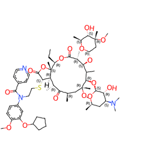 CC[C@H]1OC(=O)[C@H](C)[C@@H](O[C@H]2C[C@@](C)(OC)[C@@H](O)[C@H](C)O2)C(C)[C@@H](O[C@@H]2O[C@H](C)C[C@H](N(C)C)[C@H]2O)[C@](C)(OC)C[C@@H](C)C(=O)[C@H](C)[C@H]2[C@H](SCCN(C(=O)c3ccncc3)c3ccc(OC)c(OC4CCCC4)c3)C(=O)O[C@@]21C